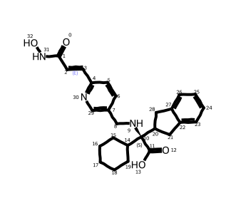 O=C(/C=C/c1ccc(CN[C@@](C(=O)O)(C2CCCCC2)C2Cc3ccccc3C2)cn1)NO